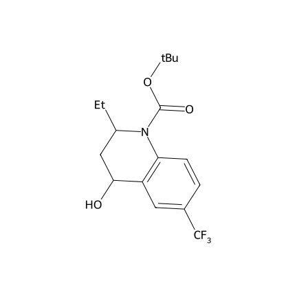 CCC1CC(O)c2cc(C(F)(F)F)ccc2N1C(=O)OC(C)(C)C